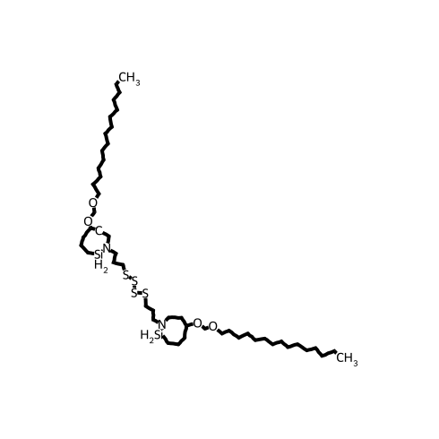 CCCCCCCCCCCCCCCOCOC1CCC[SiH2]N(CCCSSSSCCCN2CCC(OCOCCCCCCCCCCCCCCC)CCC[SiH2]2)CC1